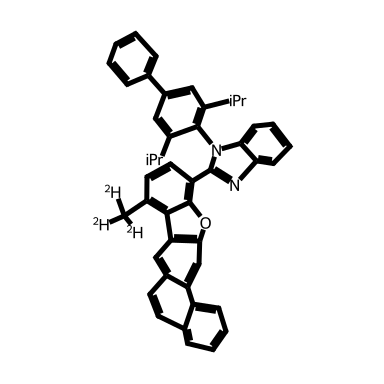 [2H]C([2H])([2H])c1ccc(-c2nc3ccccc3n2-c2c(C(C)C)cc(-c3ccccc3)cc2C(C)C)c2oc3cc4c(ccc5ccccc54)cc3c12